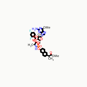 COC(=O)[C@@H](C)c1ccc2cc(OP(=O)(N[C@@H](C)C(=O)OCc3ccc(F)cc3F)OC[C@H]3OC(n4cnc5c(OC)nc(N)nc54)[C@](C)(O)[C@@H]3O)ccc2c1